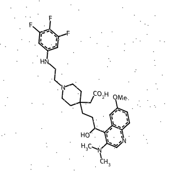 COc1ccc2ncc(N(C)C)c(C(O)CCC3(CC(=O)O)CCN(CCNc4cc(F)c(F)c(F)c4)CC3)c2c1